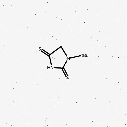 CC(C)(C)N1CC(=S)NC1=S